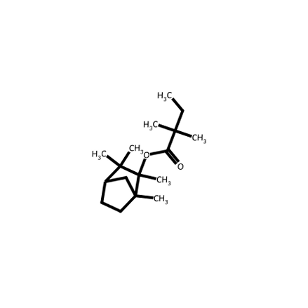 CCC(C)(C)C(=O)OC1(C)C2(C)CCC(C2)C1(C)C